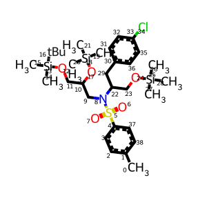 Cc1ccc(S(=O)(=O)N(CC(CO[Si](C)(C)C(C)(C)C)O[Si](C)(C)C)C(CO[Si](C)(C)C)Cc2ccc(Cl)cc2)cc1